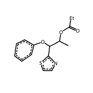 CCC(=O)OC(C)C(Oc1ccccc1)c1nccs1